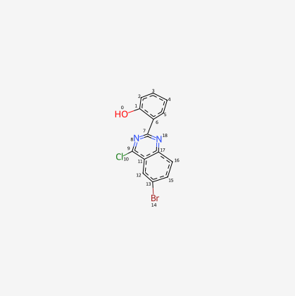 Oc1ccccc1-c1nc(Cl)c2cc(Br)ccc2n1